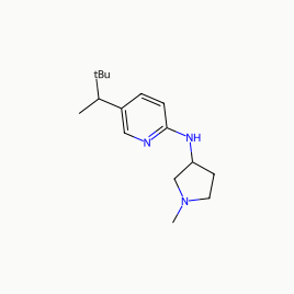 CC(c1ccc(NC2CCN(C)C2)nc1)C(C)(C)C